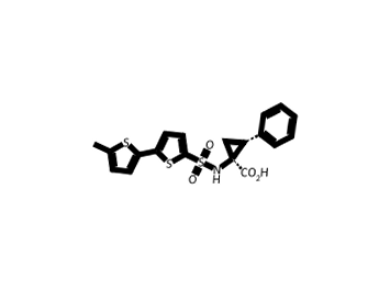 Cc1ccc(-c2ccc(S(=O)(=O)N[C@@]3(C(=O)O)C[C@@H]3c3ccccc3)s2)s1